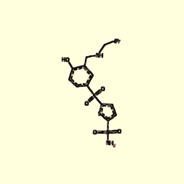 CC(C)CNCc1cc(S(=O)(=O)c2ccc(S(N)(=O)=O)s2)ccc1O